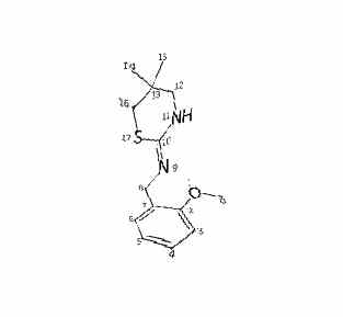 COc1ccccc1C/N=C1/NCC(C)(C)CS1